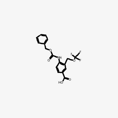 O=C(Nc1ccc(C(=O)O)cc1COC(F)(F)F)OCc1ccccc1